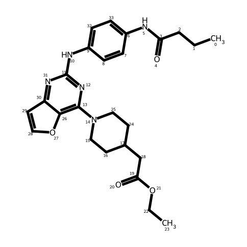 CCCC(=O)Nc1ccc(Nc2nc(N3CCC(CC(=O)OCC)CC3)c3occc3n2)cc1